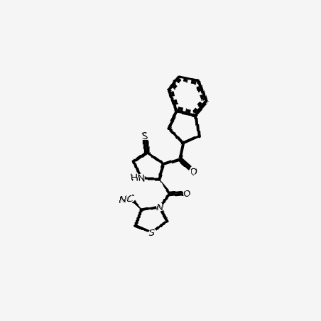 N#C[C@@H]1CSCN1C(=O)[C@H]1NCC(=S)C1C(=O)C1Cc2ccccc2C1